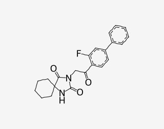 O=C(CN1C(=O)NC2(CCCCC2)C1=O)c1ccc(-c2ccccc2)cc1F